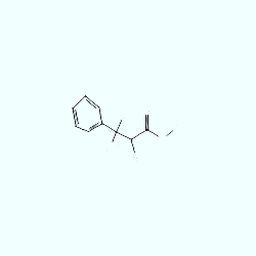 COC(=O)C(N)C(C)(C)c1ccccc1